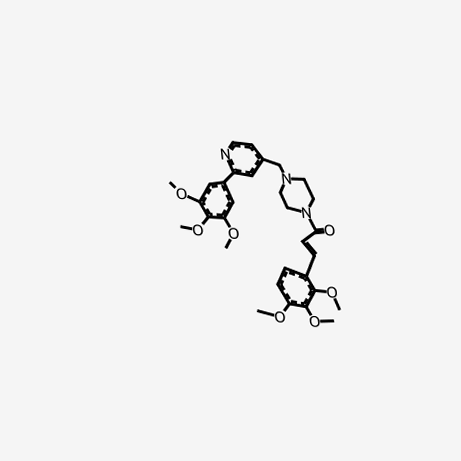 COc1cc(-c2cc(CN3CCN(C(=O)C=Cc4ccc(OC)c(OC)c4OC)CC3)ccn2)cc(OC)c1OC